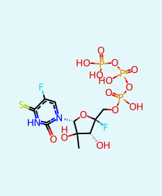 CC1(O)[C@@H](O)[C@@](F)(COP(=O)(O)OP(=O)(O)OP(=O)(O)O)O[C@H]1n1cc(F)c(=S)[nH]c1=O